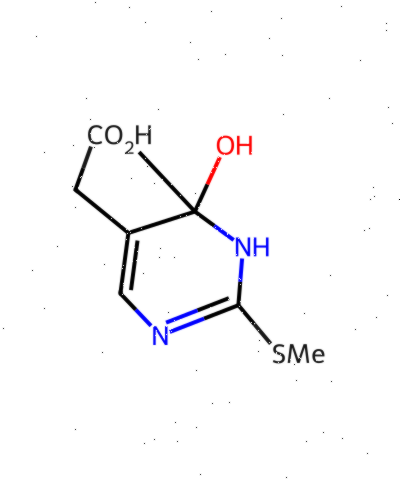 CSC1=NC=C(CC(=O)O)C(C)(O)N1